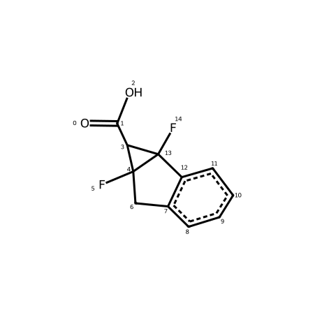 O=C(O)C1C2(F)Cc3ccccc3C12F